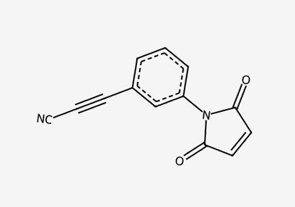 N#CC#Cc1cccc(N2C(=O)C=CC2=O)c1